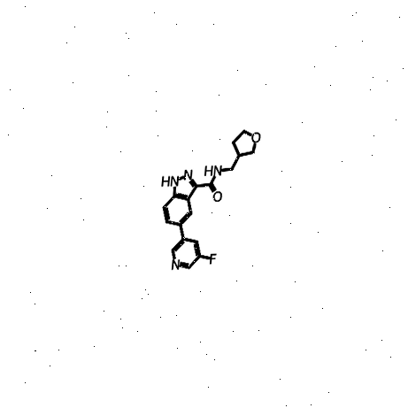 O=C(NCC1CCOC1)c1n[nH]c2ccc(-c3cncc(F)c3)cc12